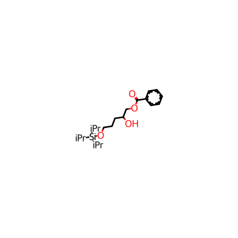 CC(C)[Si](OCCCC(O)COC(=O)c1ccccc1)(C(C)C)C(C)C